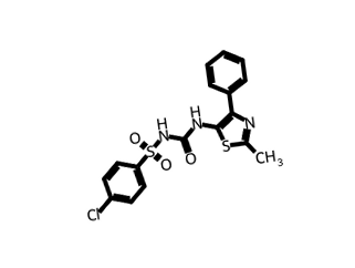 Cc1nc(-c2ccccc2)c(NC(=O)NS(=O)(=O)c2ccc(Cl)cc2)s1